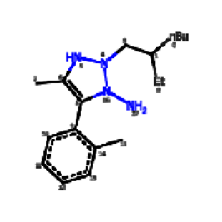 CCCCC(CC)CN1NC(C)=C(c2ccccc2C)N1N